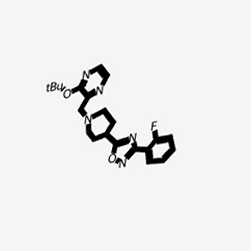 CC(C)(C)Oc1nccnc1CN1CCC(c2nc(-c3ccccc3F)no2)CC1